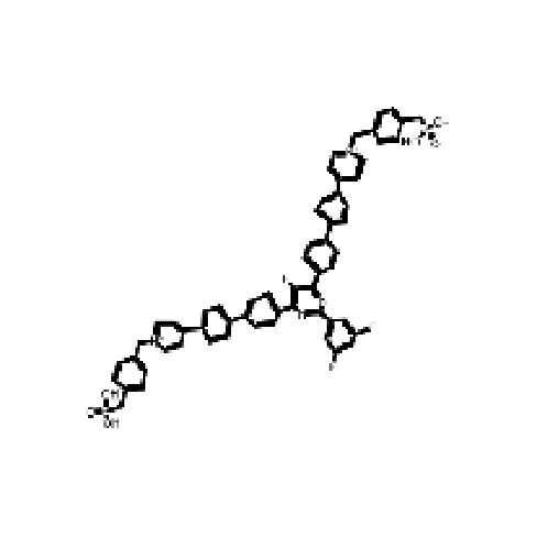 O=P(O)(O)Cc1ccc(C[n+]2ccc(-c3ccc(-c4ccc(-c5nc(-c6cc(F)cc(F)c6)nc(-c6ccc(-c7ccc(-c8cc[n+](Cc9ccc(CP(=O)(O)O)cc9)cc8)cc7)cc6)c5F)cc4)cc3)cc2)cc1